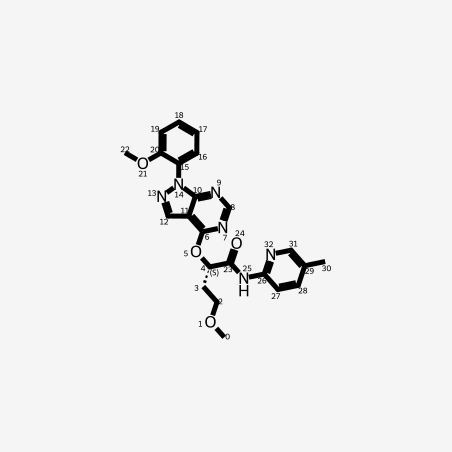 COCC[C@H](Oc1ncnc2c1cnn2-c1ccccc1OC)C(=O)Nc1ccc(C)cn1